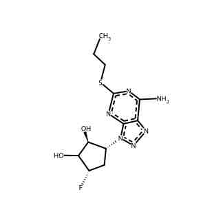 CCCSc1nc(N)c2nnn([C@@H]3C[C@H](F)C(O)[C@H]3O)c2n1